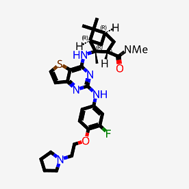 CNC(=O)[C@H]1C[C@H]2C[C@H](C2(C)C)[C@@]1(C)Nc1nc(Nc2ccc(OCCN3CCCC3)c(F)c2)nc2ccsc12